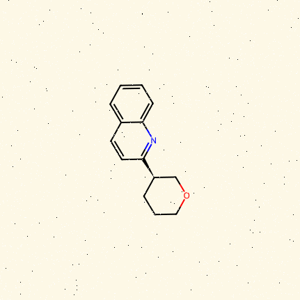 c1ccc2nc([C@@H]3CCCOC3)ccc2c1